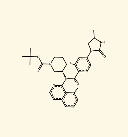 Cc1cccc2ccnc(N(C(=O)c3ccc(N4CC(C)NC4=O)cc3F)[C@@H]3CCCN(C(=O)OC(C)(C)C)C3)c12